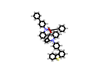 c1ccc(-c2ccc(N3c4ccccc4C4(c5ccccc5N(c5ccc(-c6cccc7sc8ccccc8c67)cc5)c5ccccc54)c4cc(-c5ccccc5)ccc43)cc2)cc1